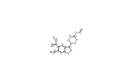 C=CCN1CCC(N2CCc3cc(N)c(C(=O)OC)cc32)CC1